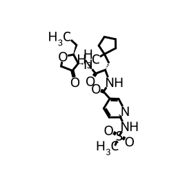 CC[C@@H]1OCC(=O)[C@H]1NC(=O)[C@H](CC1(C)CCCC1)NC(=O)c1ccc(NS(C)(=O)=O)nc1